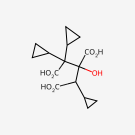 O=C(O)C(C1CC1)C(O)(C(=O)O)C(C(=O)O)(C1CC1)C1CC1